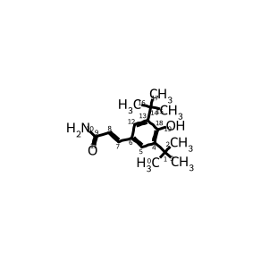 CC(C)(C)c1cc(C=CC(N)=O)cc(C(C)(C)C)c1O